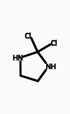 ClC1(Cl)NCCN1